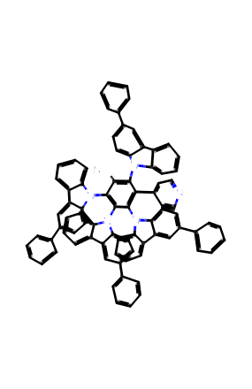 N#Cc1c(-n2c3ccccc3c3cc(-c4ccccc4)ccc32)c(-c2ccncc2)c(-n2c3ccccc3c3cc(-c4ccccc4)ccc32)c(-n2c3ccccc3c3cc(-c4ccccc4)ccc32)c1-n1c2ccccc2c2cc(-c3ccccc3)ccc21